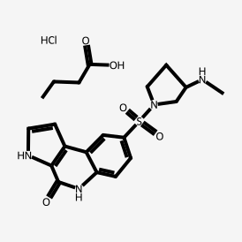 CCCC(=O)O.CNC1CCN(S(=O)(=O)c2ccc3[nH]c(=O)c4[nH]ccc4c3c2)C1.Cl